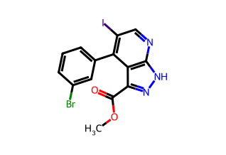 COC(=O)c1n[nH]c2ncc(I)c(-c3cccc(Br)c3)c12